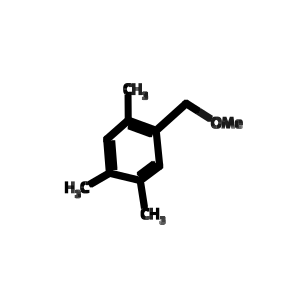 COCc1cc(C)c(C)cc1C